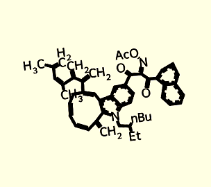 C=C(C)/C=C(/C)C(=C)C(=C)/C1=C/c2c(n(CC(CC)CCCC)c3ccc(C(=O)/C(=N\OC(C)=O)C(=O)c4cccc5ccccc45)cc23)C(=C)/C=C\C=C/C1